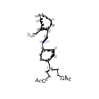 CC(=O)OCCN(CCOC(C)=O)c1ccc(/C=C/c2ccncc2C)cc1